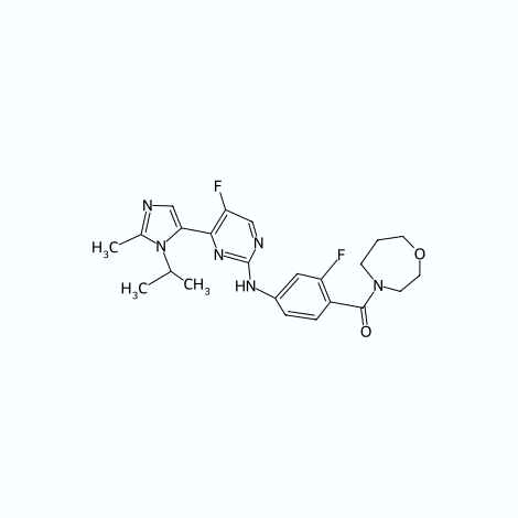 Cc1ncc(-c2nc(Nc3ccc(C(=O)N4CCCOCC4)c(F)c3)ncc2F)n1C(C)C